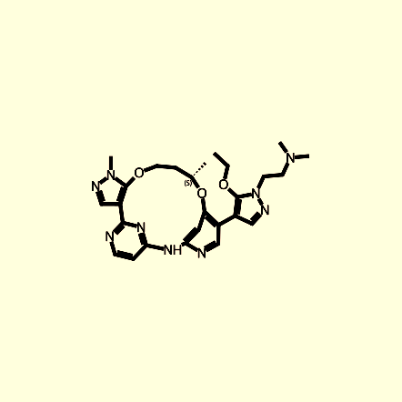 CCOc1c(-c2cnc3cc2O[C@@H](C)CCOc2c(cnn2C)-c2nccc(n2)N3)cnn1CCN(C)C